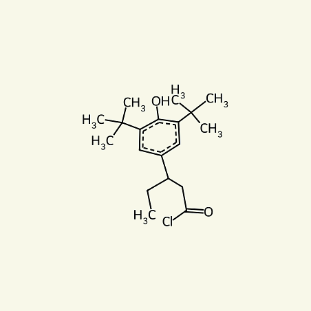 CCC(CC(=O)Cl)c1cc(C(C)(C)C)c(O)c(C(C)(C)C)c1